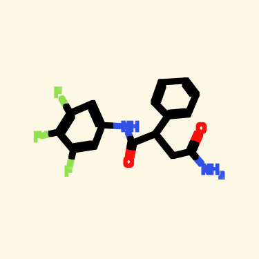 NC(=O)CC(C(=O)Nc1cc(F)c(F)c(F)c1)c1ccccc1